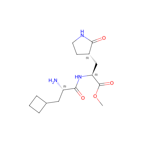 COC(=O)[C@H](C[C@@H]1CCNC1=O)NC(=O)[C@@H](N)CC1CCC1